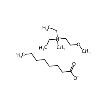 CCCCCCCC(=O)[O-].CC[N+](C)(CC)CCOC